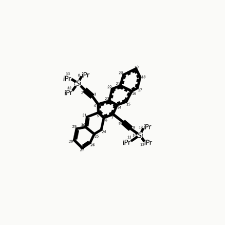 CC(C)[Si](C#Cc1c2c(c(C#C[Si](C(C)C)(C(C)C)C(C)C)c3cc4ccccc4cc13)CC1C=CC=CC1=C2)(C(C)C)C(C)C